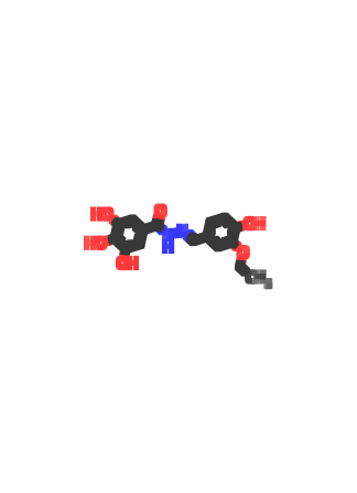 CCOc1cc(/C=N/NC(=O)c2cc(O)c(O)c(O)c2)ccc1O